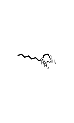 CCCCCCC[SiH]1CCO[SiH2][SiH2]1